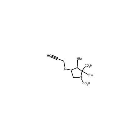 C#CCOC1CN(C(=O)O)C(C(=O)O)(C(C)(C)C)C1C(C)(C)C